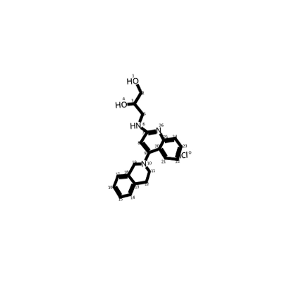 Cl.OCC(O)CNc1cc(N2CCc3ccccc3C2)c2ccccc2n1